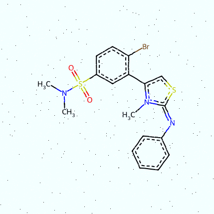 CN(C)S(=O)(=O)c1ccc(Br)c(-c2cs/c(=N/c3ccccc3)n2C)c1